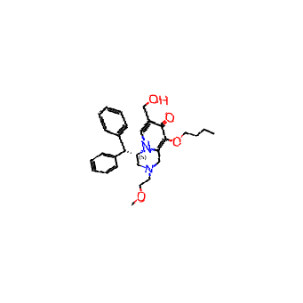 CCCCOc1c2n(cc(CO)c1=O)[C@@H](C(c1ccccc1)c1ccccc1)CN(CCOC)C2